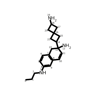 CCCNc1ccc2c(c1)C=CC(N)(C1CC3(CC(N)C3)C1)C2